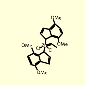 C[CH]=[Zr]([Cl])([Cl])([CH]1C=Cc2c(OC)ccc(OC)c21)[CH]1C=Cc2c(OC)ccc(OC)c21